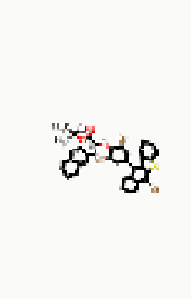 CC(C)(C)OC(=O)[C@@H](Cc1ccc2ccccc2c1)Oc1c(Br)cc(-c2c3ccccc3c(Br)c3sc4ccccc4c23)cc1Br